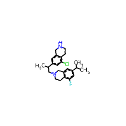 CC(C)c1cc(F)c2c(c1)CN(CC(C)c1cc(Cl)c3c(c1)CNCC3)CC2